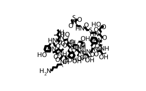 CC[C@H](C)[C@H](NC(=O)[C@H](CO)NC(=O)[C@H](Cc1ccc(O)cc1)NC(=O)[C@H](CC(=O)O)NC(=O)[C@H](CO)NC(=O)[C@@H](NC(=O)[C@H](Cc1ccccc1)NC(=O)[C@@H](NC(=O)CNC(=O)[C@H](CCC(=O)O)NC(=O)CSCC(=O)NCCN1C(=O)CSC1=O)[C@@H](C)O)[C@@H](C)O)C(=O)N[C@@H](Cc1ccc(O)cc1)C(=O)NC(C)(CC(C)C)C(=O)N[C@@H](CC(=O)O)C(=O)N[C@H](C)CCCCN